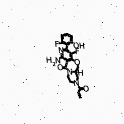 C=CC(=O)N1CCN2C(=O)c3c(N)nc(-c4c(O)cccc4F)c(F)c3OC[C@H]2C1